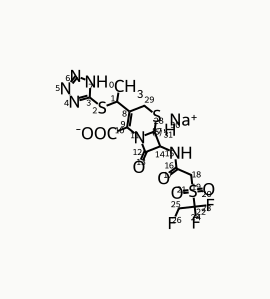 CC(Sc1nnn[nH]1)C1=C(C(=O)[O-])N2C(=O)C(NC(=O)CS(=O)(=O)C(F)(F)CF)[C@@H]2SC1.[Na+]